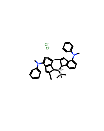 CC1=Cc2c(cccc2N(C)c2ccccc2)[CH]1[Zr+2]([CH]1C(C)=Cc2c1cccc2N(C)c1ccccc1)[SiH](C)C.[Cl-].[Cl-]